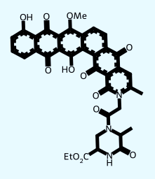 CCOC(=O)C1CN(C(=O)Cn2c(C)cc3c(=O)c4ccc5c(OC)c6c(=O)c7c(O)cccc7c(=O)c6c(O)c5c4c(=O)c3c2=O)C(C)C(=O)N1